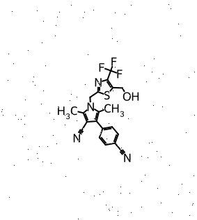 Cc1c(C#N)c(-c2ccc(C#N)cc2)c(C)n1Cc1nc(C(F)(F)F)c(CO)s1